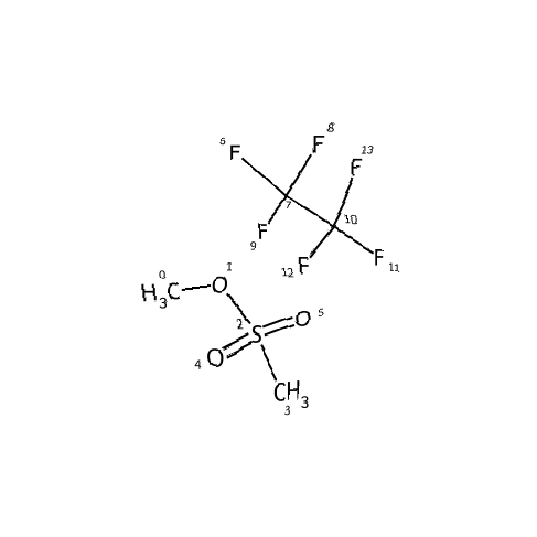 COS(C)(=O)=O.FC(F)(F)C(F)(F)F